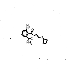 NC(=O)c1cccc(N)c1C(=O)CCCOC1CCC1